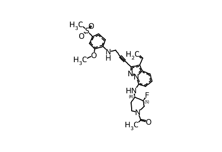 C=Cc1c(C#CCNc2ccc(S(C)(=O)=O)cc2OC)nn2c(N[C@@H]3CCN(C(C)=O)C[C@@H]3F)cccc12